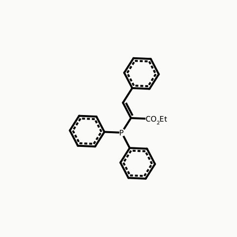 CCOC(=O)C(=Cc1ccccc1)P(c1ccccc1)c1ccccc1